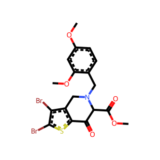 COC(=O)C1C(=O)c2sc(Br)c(Br)c2CN1Cc1ccc(OC)cc1OC